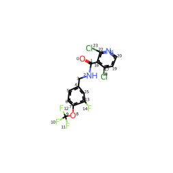 O=C(NCc1ccc(OC(F)(F)F)c(F)c1)c1c(Cl)ccnc1Cl